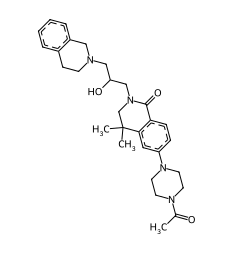 CC(=O)N1CCN(c2ccc3c(c2)C(C)(C)CN(CC(O)CN2CCc4ccccc4C2)C3=O)CC1